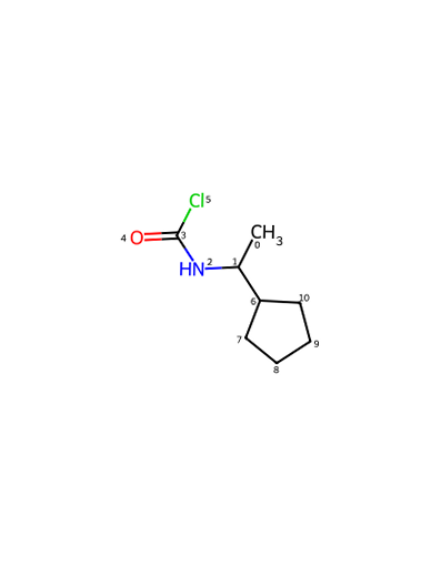 CC(NC(=O)Cl)C1CCCC1